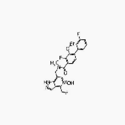 CCOc1c(-c2cccc(F)c2)ccc(C(=O)N(C)Cc2c[n+](O)c(CF)c3cn[nH]c23)c1F